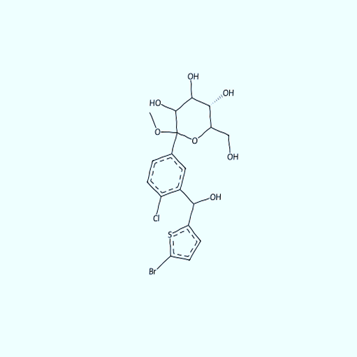 COC1(c2ccc(Cl)c(C(O)c3ccc(Br)s3)c2)OC(CO)[C@@H](O)C(O)C1O